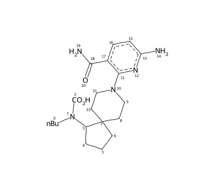 CCCCN(C(=O)O)C1CCCC12CCN(c1nc(N)ccc1C(N)=O)CC2